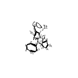 CCOC(=O)c1cnc(N(c2ccccc2)c2ccccc2Cl)nc1